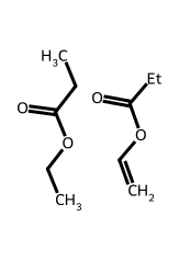 C=COC(=O)CC.CCOC(=O)CC